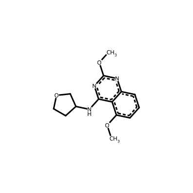 COc1nc(NC2CCOC2)c2c(OC)cccc2n1